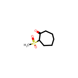 CS(=O)(=O)C1CCCCCC1=O